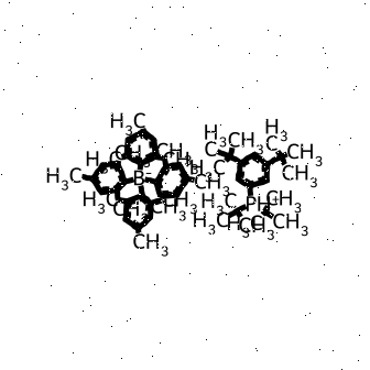 CC(C)(C)c1cc([PH+](C(C)(C)C)C(C)(C)C)cc(C(C)(C)C)c1.Cc1cc(C)c([B-](c2c(C)cc(C)cc2C)(c2c(C)cc(C)cc2C)c2c(C)cc(C)cc2C)c(C)c1